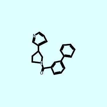 O=C(c1cccc(-c2ccccc2)c1)N1CCC(c2cccnc2)C1